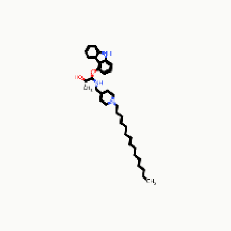 CCCCCCCCCCCCCCCN1CCC(CNC(Oc2cccc3[nH]c4ccccc4c23)[C@H](C)O)CC1